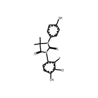 CC1(C)C(=O)N(c2ccc(C#N)c(Cl)c2F)C(=S)N1c1ccc(S)cc1